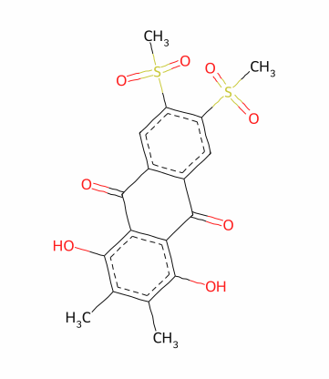 Cc1c(C)c(O)c2c(c1O)C(=O)c1cc(S(C)(=O)=O)c(S(C)(=O)=O)cc1C2=O